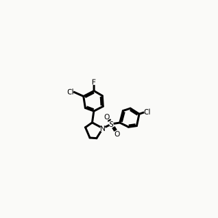 O=S(=O)(c1ccc(Cl)cc1)N1CCCC1c1ccc(F)c(Cl)c1